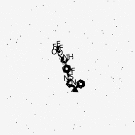 O=C(OC[C@@H]1C[C@@H](c2ccc(-c3nc4ccc(C5(c6ccccc6)CC5)nc4s3)c(F)c2)CN1)C(F)(F)F